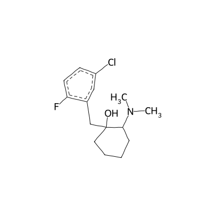 CN(C)C1CCCCC1(O)Cc1cc(Cl)ccc1F